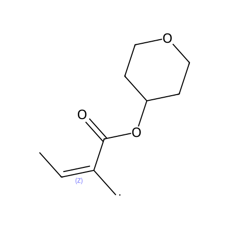 [CH2]/C(=C/C)C(=O)OC1CCOCC1